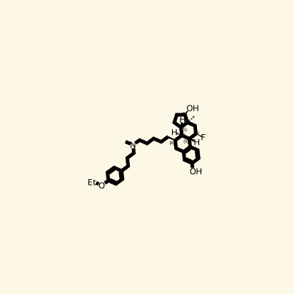 CCOc1ccc(CCCN(C)CCCCC[C@@H]2Cc3cc(O)ccc3[C@@H]3[C@@H]2[C@@H]2CC[C@H](O)[C@@]2(C)C[C@@H]3F)cc1